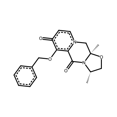 C[C@H]1CO[C@]2(C)Cn3ccc(=O)c(OCc4ccccc4)c3C(=O)N12